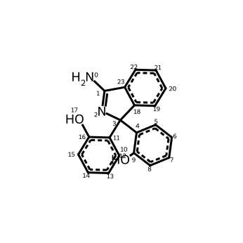 NC1=NC(c2ccccc2O)(c2ccccc2O)c2ccccc21